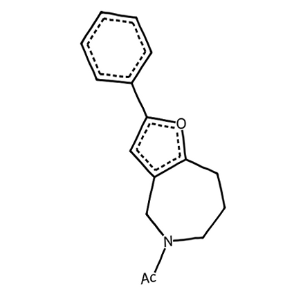 CC(=O)N1CCCc2oc(-c3ccccc3)cc2C1